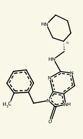 Cc1ccccc1Cn1c(=O)[nH]c2cnc(NC[C@H]3CCCNC3)nc21